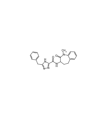 CN1C(=O)C(NC(=O)c2nnc(Cc3ccccc3)[nH]2)CCc2ccccc21